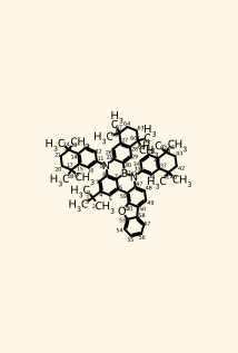 CC(C)(C)c1cc2c3c(c1)N(c1ccc4c(c1)C(C)(C)CCC4(C)C)c1cc4c(cc1B3N(c1ccc3c(c1)C(C)(C)CCC3(C)C)c1ccc3c(oc5ccccc53)c1-2)C(C)(C)CCC4(C)C